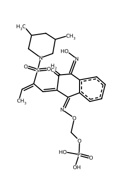 C=C1C(=C\C(=C/C)S(=O)(=O)N2CC(C)CC(C)C2)/C(=N/OCOP(=O)(O)O)c2ccccc2/C1=N/O